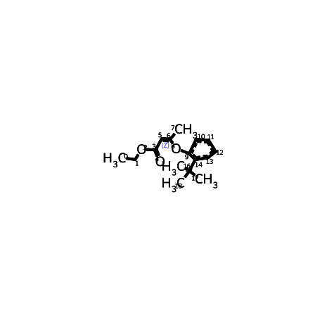 CCOC(=O)/C=C(/C)Oc1ccccc1C(C)(C)C